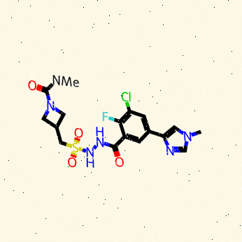 CNC(=O)N1CC(CS(=O)(=O)NNC(=O)c2cc(-c3cn(C)cn3)cc(Cl)c2F)C1